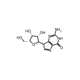 Nc1nc2c(ncn2C2O[C@H](CO)[C@H](O)[C@@H]2O)c(=O)[nH]1